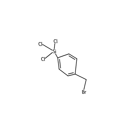 Cl[Si](Cl)(Cl)c1ccc(CBr)cc1